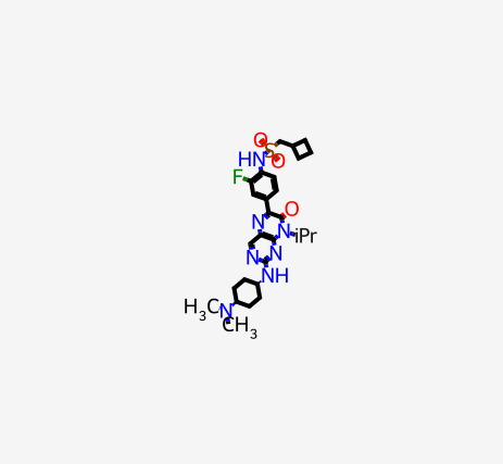 CC(C)n1c(=O)c(-c2ccc(NS(=O)(=O)CC3CCC3)c(F)c2)nc2cnc(N[C@H]3CC[C@H](N(C)C)CC3)nc21